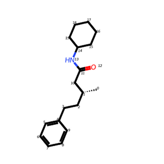 C[C@H](CCc1ccccc1)CC(=O)NC1CCCCC1